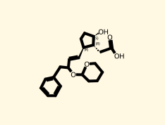 O=C(O)C[C@H]1[C@@H](O)CC[C@@H]1C=CC(Cc1ccccc1)OC1CCCCO1